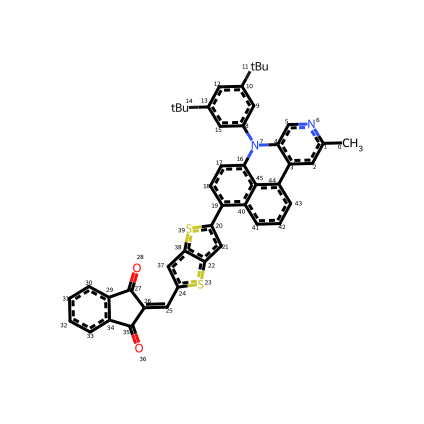 Cc1cc2c(cn1)N(c1cc(C(C)(C)C)cc(C(C)(C)C)c1)c1ccc(-c3cc4sc(C=C5C(=O)c6ccccc6C5=O)cc4s3)c3cccc-2c13